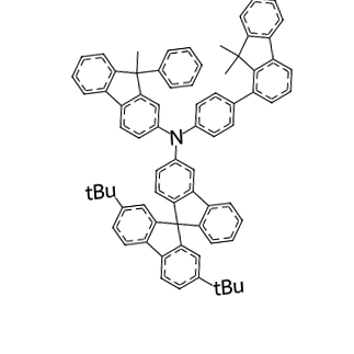 CC(C)(C)c1ccc2c(c1)C1(c3ccccc3-c3cc(N(c4ccc(-c5cccc6c5C(C)(C)c5ccccc5-6)cc4)c4ccc5c(c4)C(C)(c4ccccc4)c4ccccc4-5)ccc31)c1cc(C(C)(C)C)ccc1-2